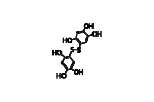 Oc1cc(O)c(SSc2cc(O)c(O)cc2O)cc1O